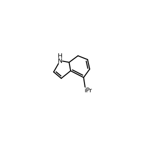 CC(C)C1=C2C=CNC2CC=C1